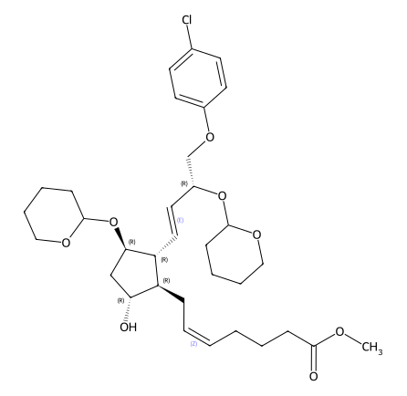 COC(=O)CCC/C=C\C[C@@H]1[C@@H](/C=C/[C@H](COc2ccc(Cl)cc2)OC2CCCCO2)[C@H](OC2CCCCO2)C[C@H]1O